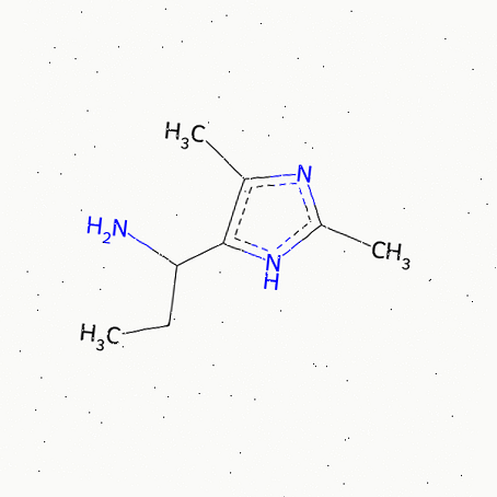 CCC(N)c1[nH]c(C)nc1C